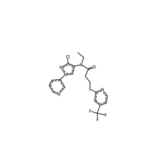 CCN(C(=O)CCSc1cc(C(F)(F)F)ccn1)c1cn(-c2cccnc2)nc1Cl